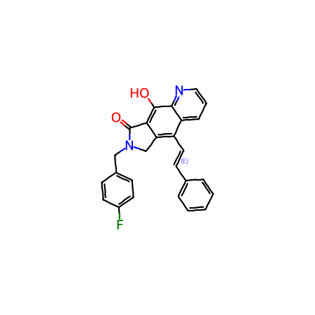 O=C1c2c(c(/C=C/c3ccccc3)c3cccnc3c2O)CN1Cc1ccc(F)cc1